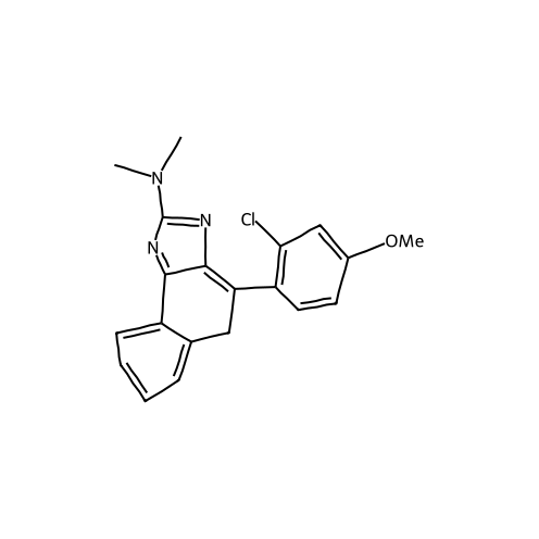 COc1ccc(C2=C3N=C(N(C)C)N=C3c3ccccc3C2)c(Cl)c1